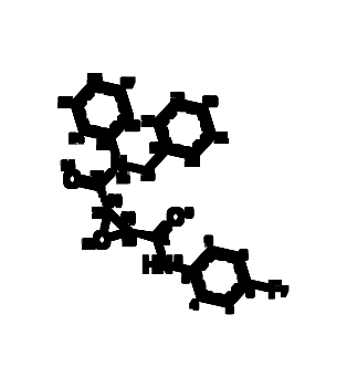 O=C(Nc1ccc(F)cc1)[C@H]1O[C@@H]1C(=O)N(Cc1ccccc1)c1ccccc1